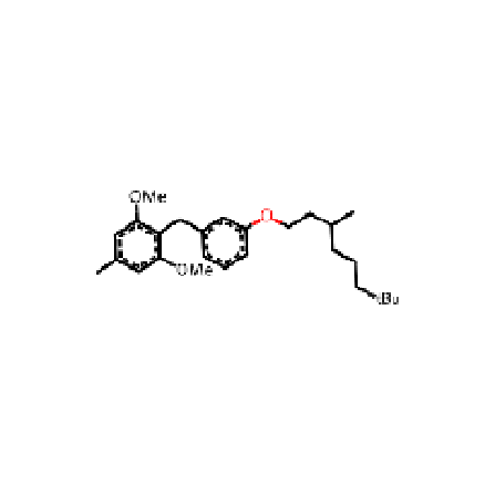 COc1cc(C)cc(OC)c1Cc1cccc(OCCC(C)CCCC(C)(C)C)c1